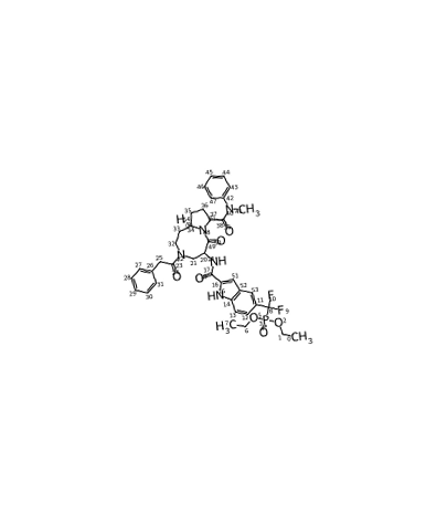 CCOP(=O)(OCC)C(F)(F)c1ccc2[nH]c(C(=O)NC3CN(C(=O)Cc4ccccc4)CC[C@H]4CC[C@@H](C(=O)N(C)c5ccccc5)N4C3=O)cc2c1